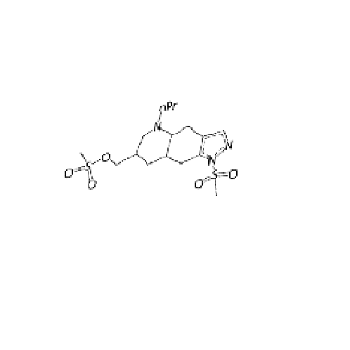 CCCN1CC(COS(C)(=O)=O)CC2Cc3c(cnn3S(C)(=O)=O)CC21